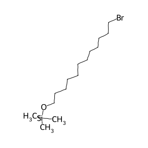 C[Si](C)(C)OCCCCCCCCCCCCBr